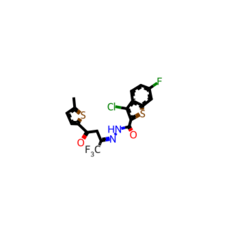 Cc1ccc(C(=O)CC(=NNC(=O)c2sc3cc(F)ccc3c2Cl)C(F)(F)F)s1